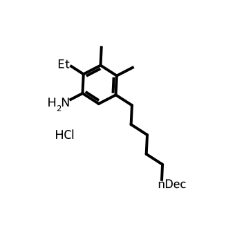 CCCCCCCCCCCCCCCc1cc(N)c(CC)c(C)c1C.Cl